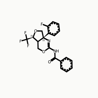 O=C(NC1=N[C@@]2(c3ccccc3F)CO[C@H](C(F)(F)F)C2CO1)c1ccccc1